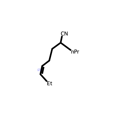 CC/C=C\CCC(C#N)CCC